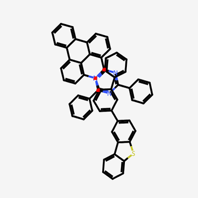 c1ccc(-c2nc(-c3ccccc3)nc(-c3cccc4c5ccccc5c5cccc(-n6c7ccccc7c7cc(-c8ccc9sc%10ccccc%10c9c8)ccc76)c5c34)n2)cc1